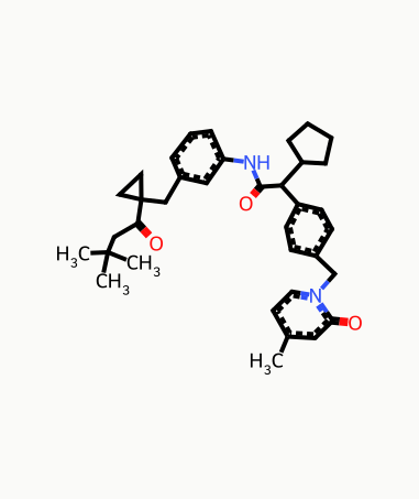 Cc1ccn(Cc2ccc(C(C(=O)Nc3cccc(CC4(C(=O)CC(C)(C)C)CC4)c3)C3CCCC3)cc2)c(=O)c1